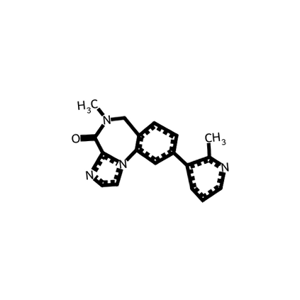 Cc1ncccc1-c1ccc2c(c1)-n1ccnc1C(=O)N(C)C2